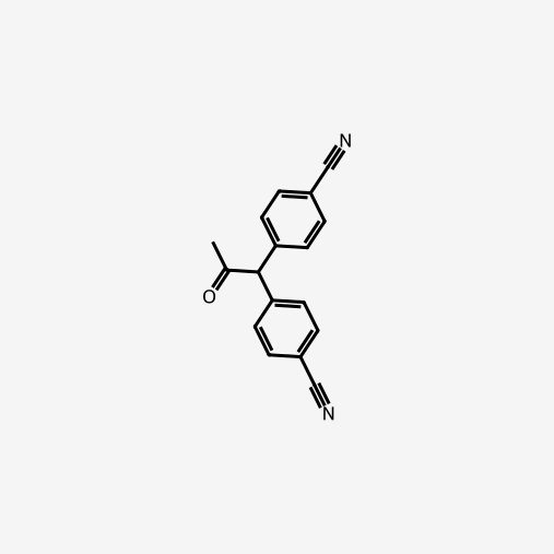 CC(=O)C(c1ccc(C#N)cc1)c1ccc(C#N)cc1